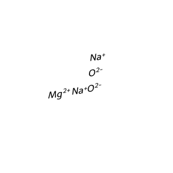 [Mg+2].[Na+].[Na+].[O-2].[O-2]